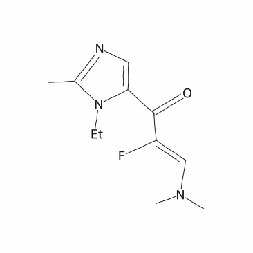 CCn1c(C(=O)/C(F)=C/N(C)C)cnc1C